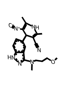 [C-]#[N+]C1=C(C)NC(C)=C(C#N)C1c1ccc2[nH]nc(N(C)CCCOC)c2c1